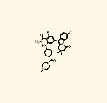 CN1CCN(C(=O)[C@H]2CC[C@H](Nc3cc(-c4c5n(c6cc(F)ccc46)C(=O)CC(C)(C)C5)cc(F)c3C(N)=O)CC2)CC1